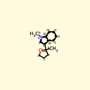 Cn1cc(C2(C)CCCO2)c2ccccc21